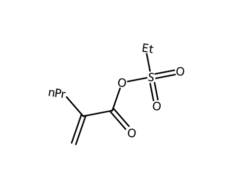 C=C(CCC)C(=O)OS(=O)(=O)CC